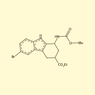 CCOC(=O)C1Cc2c([nH]c3ccc(Br)cc23)C(NC(=O)OC(C)(C)C)C1